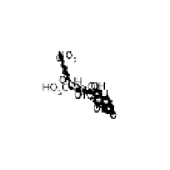 C[C@]12C=CC(=O)C=C1CC[C@H]1[C@@H]3C[C@@H](O)[C@](O)(C(=O)COC(=O)OCC(NC(=O)CCCCCO[N+](=O)[O-])C(=O)O)[C@@]3(C)C[C@H](O)[C@@]12F